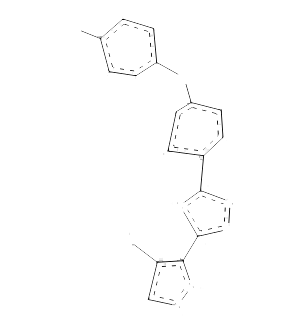 FC(F)(F)c1ccc(Oc2ccc(-c3noc(-c4n[nH]cc4Cl)n3)cc2)cc1